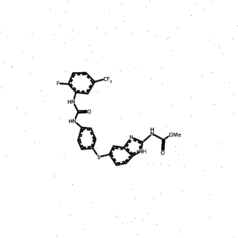 COC(=O)Nc1nc2cc(Sc3ccc(NC(=O)Nc4cc(C(F)(F)F)ccc4F)cc3)ccc2[nH]1